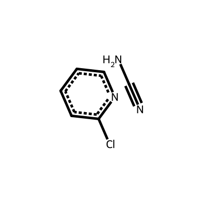 Clc1ccccn1.N#CN